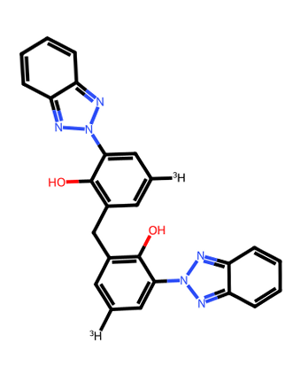 [3H]c1cc(Cc2cc([3H])cc(-n3nc4ccccc4n3)c2O)c(O)c(-n2nc3ccccc3n2)c1